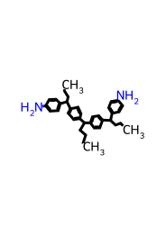 CCCCC(c1ccc(C(CCC)c2ccc(N)cc2)cc1)c1ccc(C(CCC)c2ccc(N)cc2)cc1